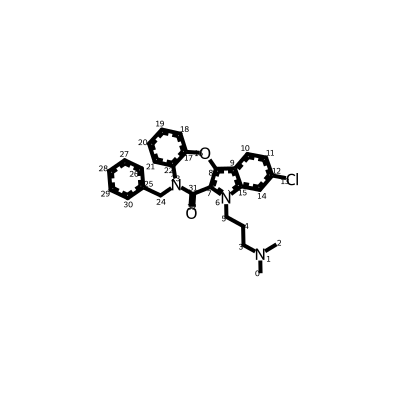 CN(C)CCCn1c2c(c3ccc(Cl)cc31)Oc1ccccc1N(Cc1ccccc1)C2=O